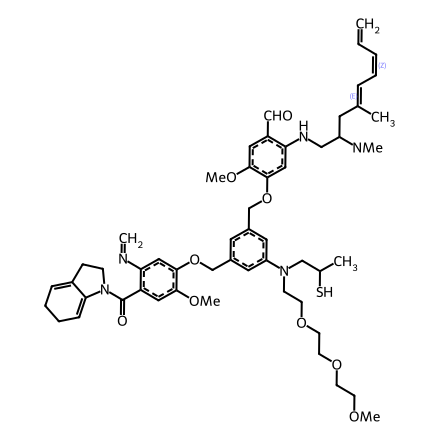 C=C/C=C\C=C(/C)CC(CNc1cc(OCc2cc(COc3cc(N=C)c(C(=O)N4CCC5=CCCC=C54)cc3OC)cc(N(CCOCCOCCOC)CC(C)S)c2)c(OC)cc1C=O)NC